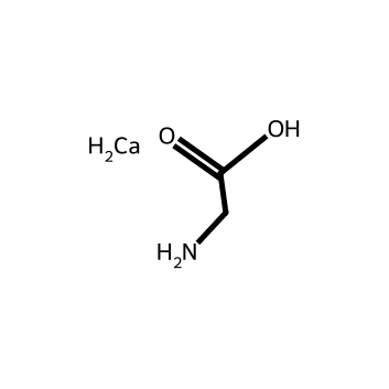 NCC(=O)O.[CaH2]